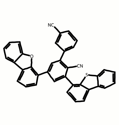 N#Cc1cccc(-c2cc(-c3cccc4c3oc3ccccc34)cc(-c3cccc4c3sc3ccccc34)c2C#N)c1